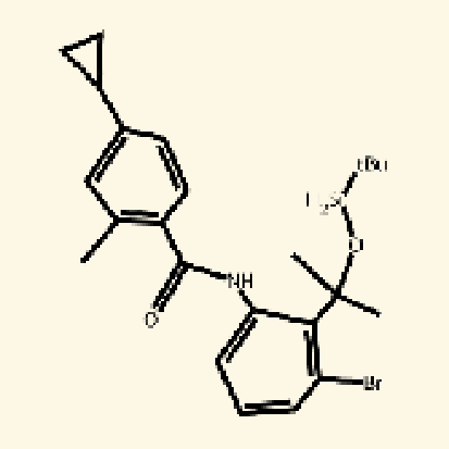 Cc1cc(C2CC2)ccc1C(=O)Nc1cccc(Br)c1C(C)(C)O[SiH2]C(C)(C)C